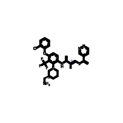 C=C(Nc1ccc(Oc2ccccc2Cl)c(C(F)(F)F)c1N1CCC[C@@H](CN)C1)/C(C)=C/SC(=C)c1ccnnc1